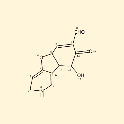 O=CC1=CC2OC3=CCNC=C3C2C(O)C1=O